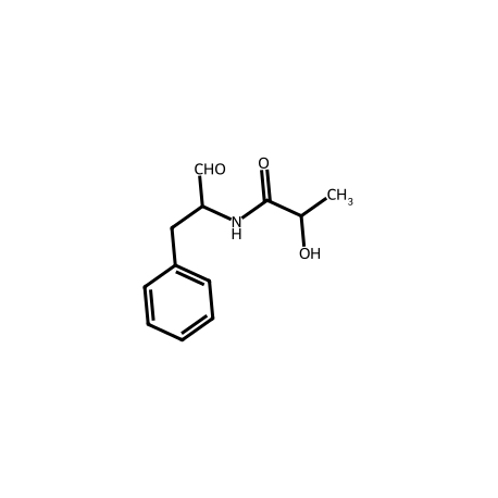 CC(O)C(=O)NC(C=O)Cc1ccccc1